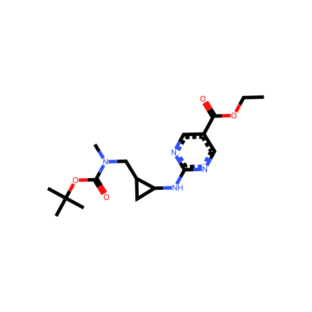 CCOC(=O)c1cnc(NC2CC2CN(C)C(=O)OC(C)(C)C)nc1